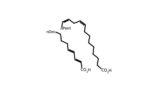 CCCCC/C=C\C/C=C\CCCCCCCC(=O)O.CCCCCCCCCCCCCC=CC=CC(=O)O